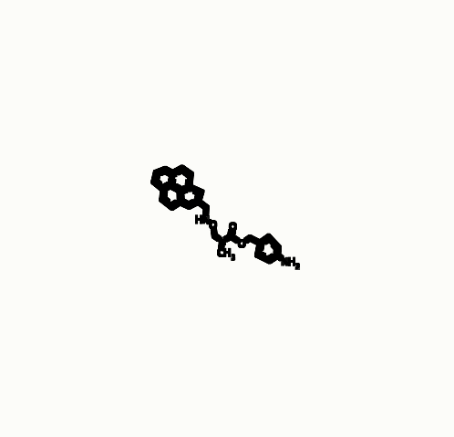 CN(CONCc1cc2ccc3cccc4ccc(c1)c2c34)C(=O)OCc1ccc(N)cc1